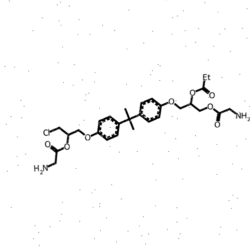 CCC(=O)OC(COC(=O)CN)COc1ccc(C(C)(C)c2ccc(OCC(CCl)OC(=O)CN)cc2)cc1